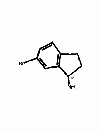 N[C@@H]1CCc2ccc(Br)cc21